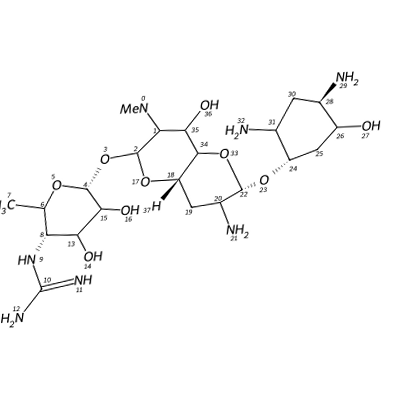 CNC1C(O[C@H]2OC(C)[C@@H](NC(=N)N)C(O)C2O)O[C@H]2CC(N)[C@@H](O[C@H]3CC(O)[C@H](N)CC3N)OC2C1O